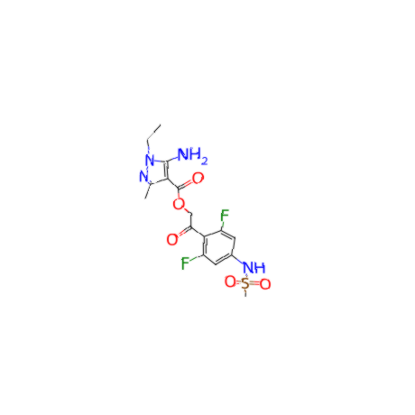 CCn1nc(C)c(C(=O)OCC(=O)c2c(F)cc(NS(C)(=O)=O)cc2F)c1N